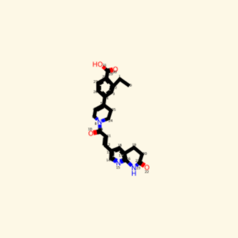 CCc1cc(C2=CCN(C(=O)C=Cc3cnc4c(c3)CCC(=O)N4)CC2)ccc1C(=O)O